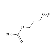 O=CC(=O)OCCCC(=O)O